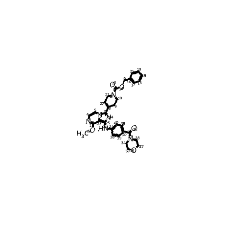 COc1nccn2c(C3CCN(C(=O)OCc4ccccc4)CC3)nc(Nc3ccc(C(=O)N4CCOCC4)cc3)c12